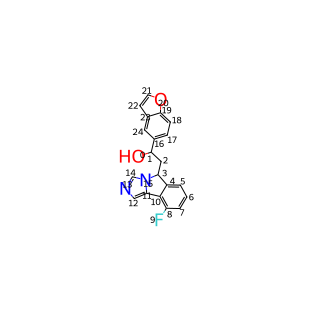 OC(CC1c2cccc(F)c2-c2cncn21)c1ccc2occc2c1